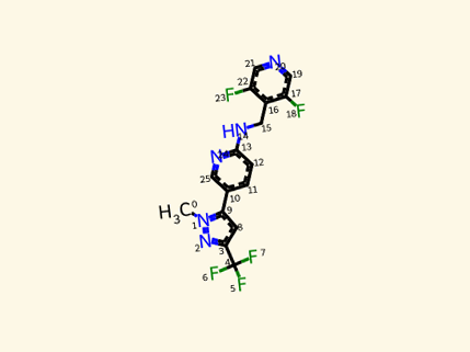 Cn1nc(C(F)(F)F)cc1-c1ccc(NCc2c(F)cncc2F)nc1